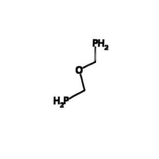 PCOCP